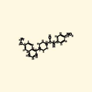 CC(C)Oc1ccc2c(N3CCN(C(=O)Nc4ccc([N+](=O)[O-])cc4)CC3)ncnc2c1